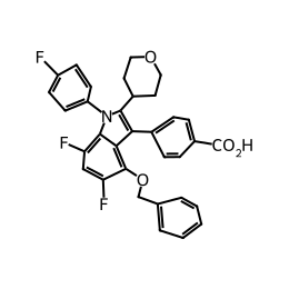 O=C(O)c1ccc(-c2c(C3CCOCC3)n(-c3ccc(F)cc3)c3c(F)cc(F)c(OCc4ccccc4)c23)cc1